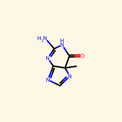 CC12N=CN=C1N=C(N)NC2=O